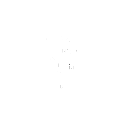 CC1=C(C(=O)O)N2C(=O)[C@@H](NC(=O)CBr)[C@H]2SC1